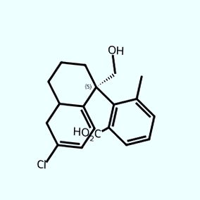 Cc1cccc(C(=O)O)c1[C@]1(CO)CCCC2CC(Cl)=CC=C21